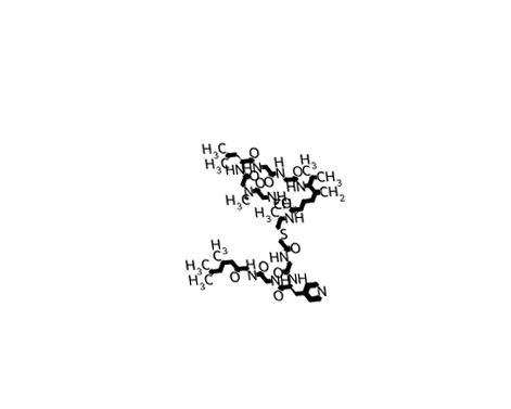 C=C(CCCC(=O)NC(C)CSCC(=O)NCC(=O)N[C@@H](Cc1ccncc1)C(=O)NCC(=O)NCC(=O)CC(C)CC(C)C)C(NC(=O)CNC(=O)CNC(=O)[C@@H](CC(C)C)NC(=O)CN(C)C(=O)CNC)C(C)C